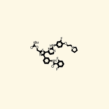 CC(C)(C)C(=O)OCc1nc(-c2cccc(NC(=O)c3c(F)cccc3F)c2)c(-c2ccnc(Nc3ccc(OCCN4CCCC4)c(F)c3)n2)s1